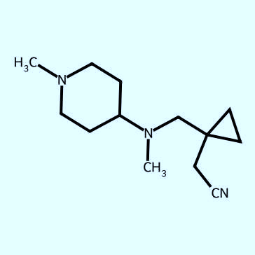 CN1CCC(N(C)CC2(CC#N)CC2)CC1